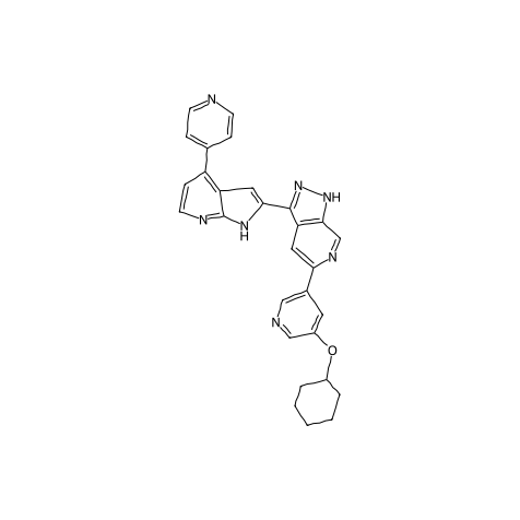 c1cc(-c2ccnc3[nH]c(-c4n[nH]c5cnc(-c6cncc(OC7CCCCC7)c6)cc45)cc23)ccn1